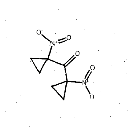 O=C(C1([N+](=O)[O-])CC1)C1([N+](=O)[O-])CC1